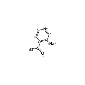 O=S([O-])c1ccncc1.[Na+]